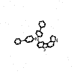 c1ccc(-c2ccc(N(c3ccc(-c4ccccc4)cc3)c3ccc4sc5ccc6ncccc6c5c4c3)cc2)cc1